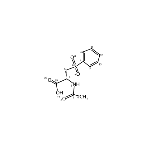 CC(=O)N[C@@H](CS(=O)(=O)c1ccccc1)C(=O)O